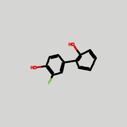 Oc1ccc[c]c1-c1ccc(O)c(F)c1